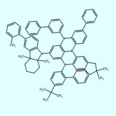 Cc1ccccc1-c1ccc2c(c1)C1(C)CCCCC1(C)N2c1cc2c3c(c1)N(c1ccc(C(C)(C)C)cc1-c1ccccc1)c1cc4c(cc1B3c1ccc(-c3ccccc3)cc1N2c1cccc(-c2ccccc2)c1)CC(C)(C)C4